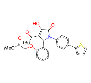 COC(=O)COc1ccccc1C1C(C(=O)C(C)(C)C)=C(O)C(=O)N1c1ccc(-c2cccs2)cc1